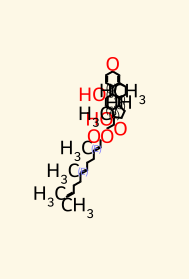 CC(C)=CCC/C(C)=C/CC/C(C)=C/C(=O)OCC(=O)[C@@]1(O)CC[C@H]2[C@@H]3CCC4=CC(=O)C=C[C@]4(C)[C@H]3C(O)C[C@@]21C